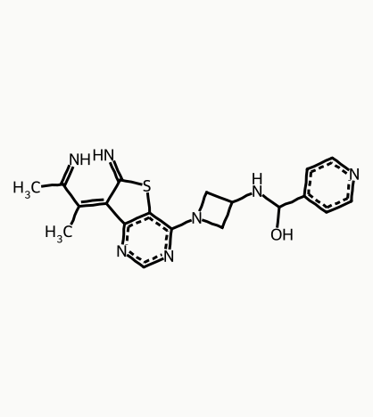 CC(=N)/C(C)=C1\C(=N)Sc2c1ncnc2N1CC(NC(O)c2ccncc2)C1